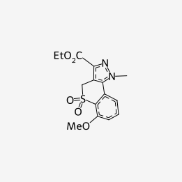 CCOC(=O)c1nn(C)c2c1CS(=O)(=O)c1c(OC)cccc1-2